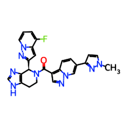 Cn1ccc(-c2ccc3c(C(=O)N4CCc5[nH]cnc5[C@H]4c4cc5c(F)cccn5n4)cnn3c2)n1